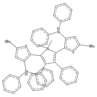 CC(C)(C)c1cc([SiH](c2ccccc2)c2ccccc2)c(C2=C(c3ccccc3)C(c3ccccc3)=C(c3sc(C(C)(C)C)cc3[SiH](c3ccccc3)c3ccccc3)[Si]2(C)C)s1